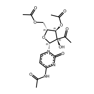 CC(=O)Nc1ccn([C@@H]2O[C@H](COC(C)=O)[C@@H](OC(C)=O)[C@]2(O)C(C)=O)c(=O)n1